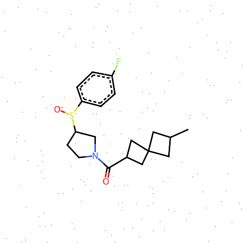 CC1CC2(C1)CC(C(=O)N1CCC([S+]([O-])c3ccc(F)cc3)C1)C2